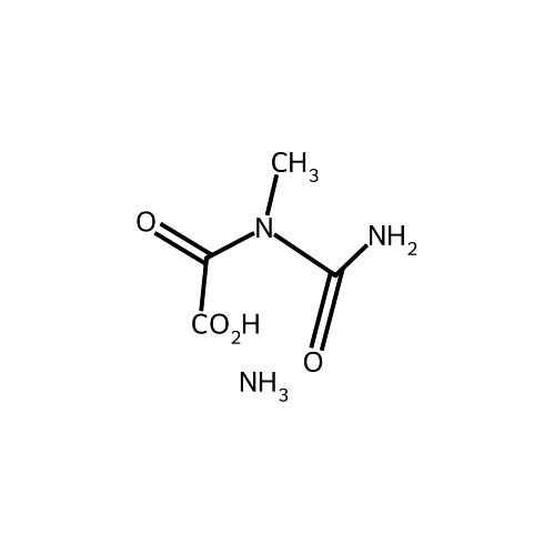 CN(C(N)=O)C(=O)C(=O)O.N